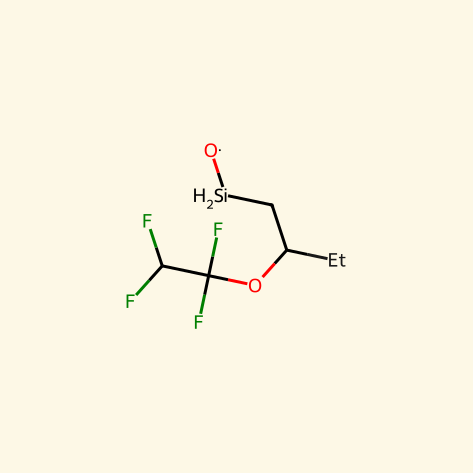 CCC(C[SiH2][O])OC(F)(F)C(F)F